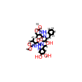 C=C(c1ccc(O)c(O)c1)N(C[C@H](O)[C@H](Cc1ccccc1)NC(=O)[C@@H](NC(=O)OC)C(C)C)NC(=O)[C@@H](NC(=O)OC)C(C)C